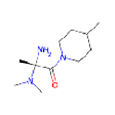 CC1CCN(C(=O)[C@@](C)(N)N(C)C)CC1